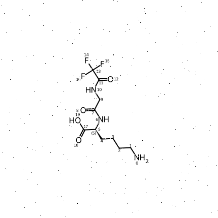 NCCCC[C@H](NC(=O)CNC(=O)C(F)(F)F)C(=O)O